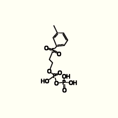 Cc1cccc(S(=O)(=O)CCOP(=O)(O)OP(=O)(O)O)c1